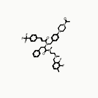 CC(=O)N1CCN(c2ccc(CN(C(=O)C=Cc3ccc(C(F)(F)F)cc3)C(Cc3ccccc3)C(=O)N(C)CCN(C)Cc3ccc(C)c(F)c3F)cc2)CC1